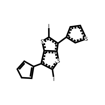 Ic1sc2c(-c3ccsc3)c(I)sc2c1C1=CCC=C1